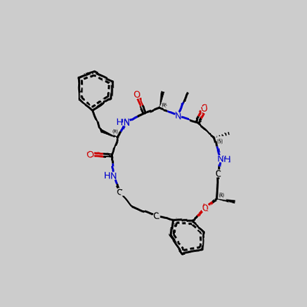 C[C@@H]1CN[C@@H](C)C(=O)N(C)[C@H](C)C(=O)N[C@H](Cc2ccccc2)C(=O)NCCCc2ccccc2O1